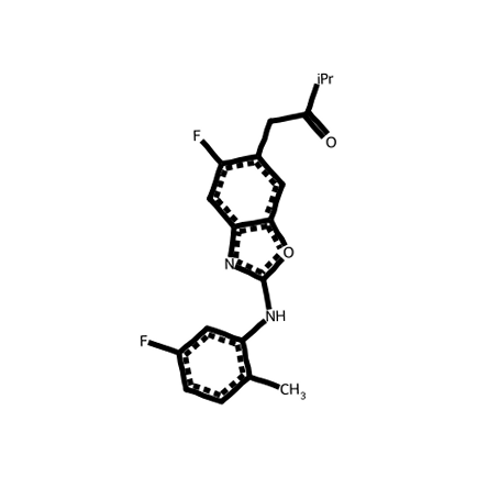 Cc1ccc(F)cc1Nc1nc2cc(F)c(CC(=O)C(C)C)cc2o1